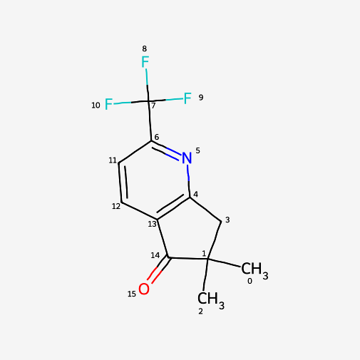 CC1(C)Cc2nc(C(F)(F)F)ccc2C1=O